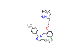 Cc1cnc(-c2ccc(C(F)(F)F)cc2)n1Cc1cc(F)ccc1OCCC[C@@H](N)CC(=O)O